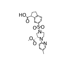 COC(=O)[C@@H]1CN(S(=O)(=O)c2ccc3c(c2)C(C(=O)O)CC3)CCN1c1ccc(C)cn1